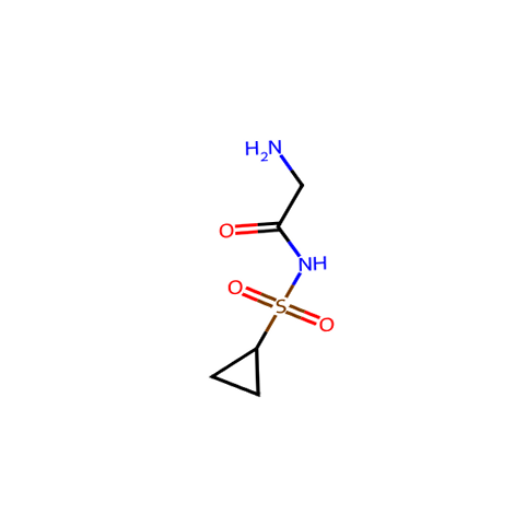 NCC(=O)NS(=O)(=O)C1CC1